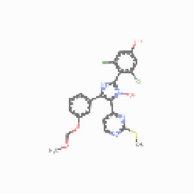 COCOc1cccc(-c2nc(-c3c(Cl)cc(O)cc3Cl)n(O)c2-c2ccnc(SC)n2)c1